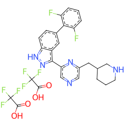 Fc1cccc(F)c1-c1ccc2[nH]nc(-c3cncc(CC4CCCNC4)n3)c2c1.O=C(O)C(F)(F)F.O=C(O)C(F)(F)F